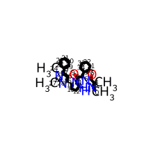 CN[C@@H](C)C(=O)N[C@H](C(=O)N1CCC[C@H]1c1cc(-c2ccccc2C)nc(C)n1)C1CCCCC1